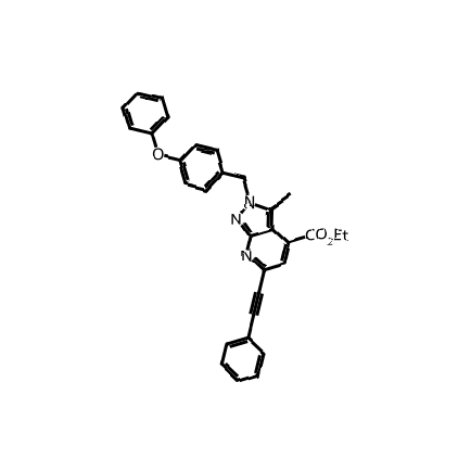 CCOC(=O)c1cc(C#Cc2ccccc2)nc2nn(Cc3ccc(Oc4ccccc4)cc3)c(C)c12